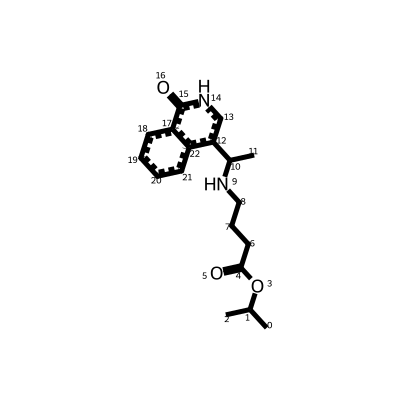 CC(C)OC(=O)CCCNC(C)c1c[nH]c(=O)c2ccccc12